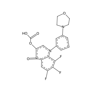 O=C(O)Oc1cn(-c2cccc(N3CCOCC3)c2)c2c(F)c(F)c(F)cc2c1=O